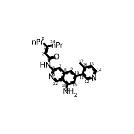 CCCC(=CC(=O)Nc1cc2cc(-c3cnccc3C)cc(N)c2cn1)CCC